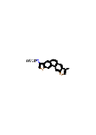 CCCCCCCCNc1csc2cc3c(ccc4cc5c(C)csc5cc43)cc12